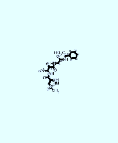 CCCC(NC(=O)C(CS(C)(=O)=O)NCC)C(=O)C(=O)NCC(=O)N[C@H](C(=O)O)c1ccccc1